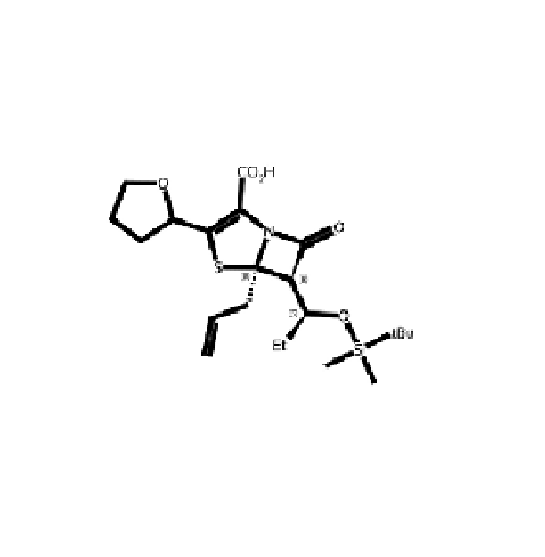 C=CC[C@]12SC(C3CCCO3)=C(C(=O)O)N1C(=O)[C@H]2[C@H](CC)O[Si](C)(C)C(C)(C)C